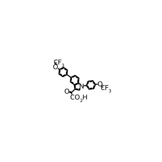 O=C(O)C(=O)c1cn(-c2ccc(OC(F)(F)F)cc2)c2ccc(-c3ccc(OC(F)(F)F)cc3)cc12